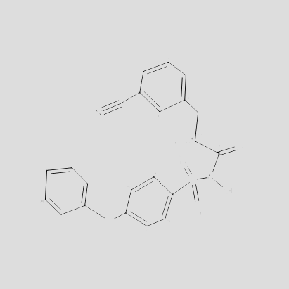 N#Cc1cccc(C[C@@H](N)C(=O)N(O)S(=O)(=O)c2ccc(Oc3ccccc3)cc2)c1